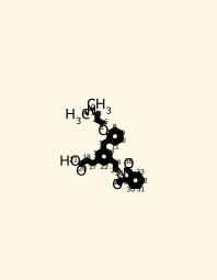 CN(C)CCCOc1ccccc1Cc1cc(CCC(=O)O)cc(CCN2C(=O)c3ccccc3C2=O)c1